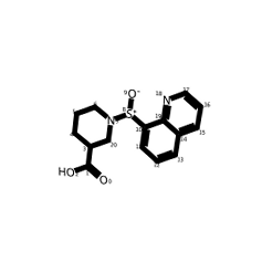 O=C(O)C1CCCN([S+]([O-])c2cccc3cccnc23)C1